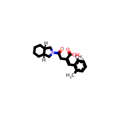 Cc1cccc(C)c1/C=C(/CC(=O)N1C[C@H]2CCCC[C@H]2C1)C(=O)O